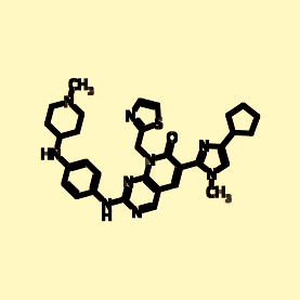 CN1CCC(Nc2ccc(Nc3ncc4cc(-c5nc(C6CCCC6)cn5C)c(=O)n(Cc5nccs5)c4n3)cc2)CC1